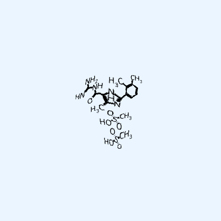 CS(=O)(=O)O.CS(=O)(=O)O.Cc1cccc(-c2nc(C)c(C(=O)NC(=N)N)[nH]2)c1C